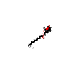 C=CCCCCCCCCC(=O)OCC1=C[C@H]2[C@@H]3C=C[C@H]2C(=O)O[C@@H]3O1